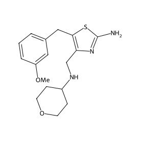 COc1cccc(Cc2sc(N)nc2CNC2CCOCC2)c1